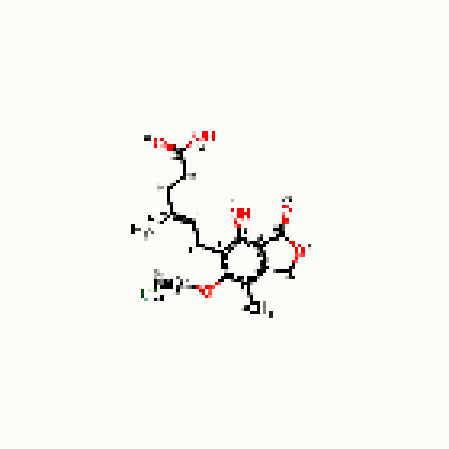 COc1c(C)c2c(c(O)c1C/C=C(\C)CCC(=O)O)C(=O)OC2.[Cl-].[Na+]